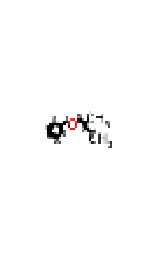 CCC[C@@H](C)COCc1ccccc1